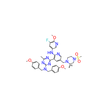 COc1ccc(CN(Cc2ccc(OC)cc2)c2nc(C)nc(-c3cc(CN4CCN(S(C)(=O)=O)C[C@H]4C)cnc3Nc3cnc(OC)c(F)c3)n2)cc1